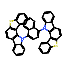 c1ccc2c(c1)sc1ccc3c4ccccc4n(-c4ccc(-n5c6ccccc6c6ccc7sc8ccccc8c7c65)c5ccccc45)c3c12